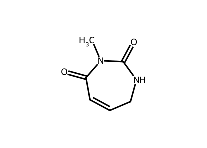 CN1C(=O)C=CCNC1=O